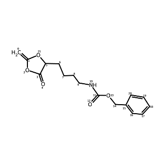 C=C1OC(=O)C(CCCCNC(=O)OCc2ccccc2)O1